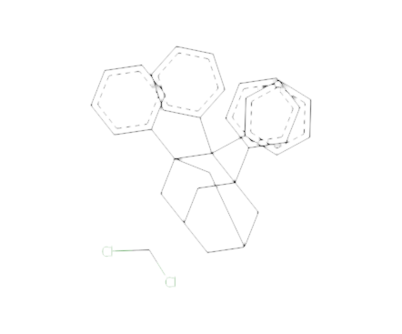 ClCCl.c1ccc(C23CC4CC(C2)CC(c2ccccc2)(C4)C3(c2ccccc2)c2ccccc2)cc1